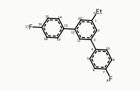 CCc1cc(-c2ccc(F)cc2)cc(-c2ccc(F)cc2)c1